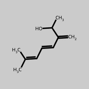 C=C(/C=C/C=C(C)C)C(C)O